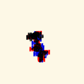 C/C(=N/O)C(C)(C)NCCN(CCNC(=O)CCC(=O)NCCCC[C@H]1NC(=O)CSC[C@@H](C(=O)N[C@@H](CCCNC(=N)N)C(=O)NCC(=O)N[C@@H](CC(=O)O)C(=O)N[C@H]2CSSC[C@@H](C(=O)NCC(=O)O)NC(=O)[C@H](Cc3ccccc3)NC2=O)NC(=O)[C@H](CC(=O)O)NC1=O)CCNC(C)(C)/C(C)=N\O